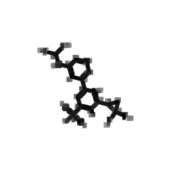 CS(=O)(=O)c1cc(-c2cncc(OC(F)F)c2)nc(C2CC2(F)F)n1